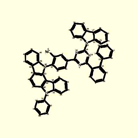 N#Cc1cc(-c2nc(-c3ccccc3-c3ccccc3)nc(-n3c4ccccc4c4ccccc43)n2)ccc1-n1c2ccccc2c2ccc3c(c4ccccc4n3-c3ccccc3)c21